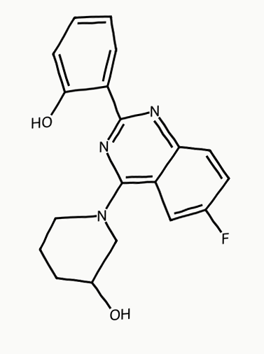 Oc1ccccc1-c1nc(N2CCCC(O)C2)c2cc(F)ccc2n1